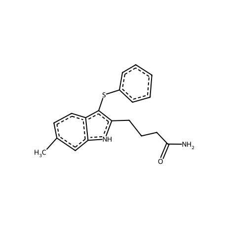 Cc1ccc2c(Sc3ccccc3)c(CCCC(N)=O)[nH]c2c1